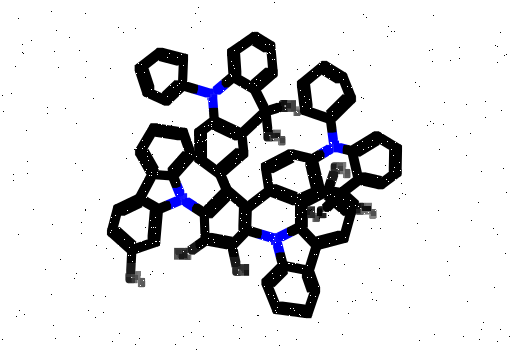 CC1(C)c2ccccc2N(c2ccccc2)c2ccc(-c3c(-c4ccc5c(c4)C(C)(C)c4ccccc4N5c4ccccc4)c(-n4c5ccccc5c5ccc(C(F)(F)F)cc54)c(C#N)c(C#N)c3-n3c4ccccc4c4ccc(C(F)(F)F)cc43)cc21